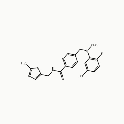 Cc1ncc(CNC(=O)c2ccc(CN(C=O)c3cc(Cl)ccc3F)cn2)s1